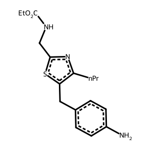 CCCc1nc(CNC(=O)OCC)sc1Cc1ccc(N)cc1